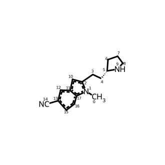 Cn1c(CC[C@@H]2CCCN2)cc2cc(C#N)ccc21